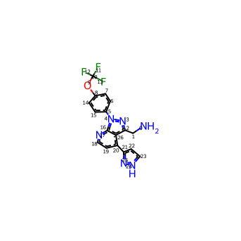 NCc1nn(-c2ccc(OC(F)(F)F)cc2)c2nccc(-c3cc[nH]n3)c12